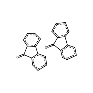 O=C1c2ccccc2-c2ccccc21.O=C1c2ccccc2-c2ccccc21